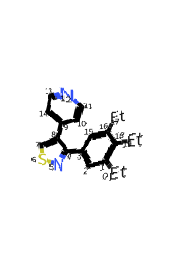 CCc1cc(-c2nscc2-c2ccncc2)cc(CC)c1CC